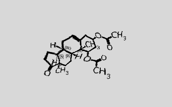 CC(=O)OC1CC2=CC[C@@H]3[C@@H](CC[C@]4(C)C(=O)CC[C@@H]34)[C@@]2(C)C(OC(C)=O)C1